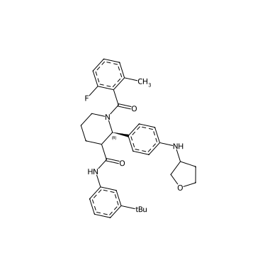 Cc1cccc(F)c1C(=O)N1CCCC(C(=O)Nc2cccc(C(C)(C)C)c2)[C@@H]1c1ccc(NC2CCOC2)cc1